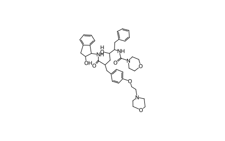 O=C(NC1c2ccccc2CC1O)C(Cc1ccc(OCCN2CCOCC2)cc1)CC(O)C(Cc1ccccc1)NC(=O)N1CCOCC1